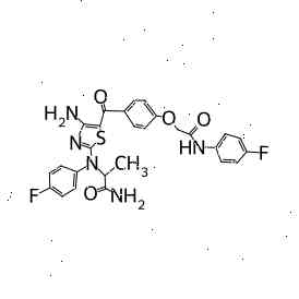 CC(C(N)=O)N(c1ccc(F)cc1)c1nc(N)c(C(=O)c2ccc(OCC(=O)Nc3ccc(F)cc3)cc2)s1